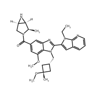 CCn1c(-c2nc3cc(C(=O)N4C[C@H]5N[C@H]5[C@H]4C)cc(OC)c3n2C[C@H]2C[C@@](C)(OC)C2)cc2cccnc21